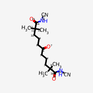 CC(C)(CCCC(=O)CCCC(C)(C)C(=O)NC#N)C(=O)NC#N